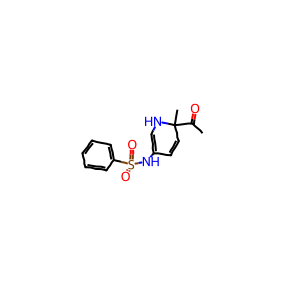 CC(=O)C1(C)C=CC(NS(=O)(=O)c2ccccc2)=CN1